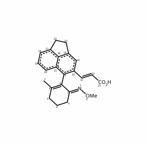 CO/N=C1\CCCC(C)=C1c1c(/C=C/C(=O)O)cc2c3c(cccc13)CC2